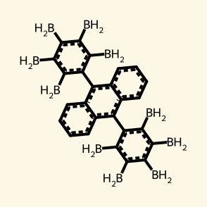 Bc1c(B)c(B)c(-c2c3ccccc3c(-c3c(B)c(B)c(B)c(B)c3B)c3ccccc23)c(B)c1B